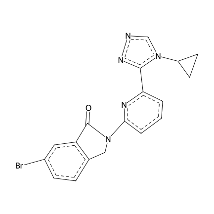 O=C1c2cc(Br)ccc2CN1c1cccc(-c2nncn2C2CC2)n1